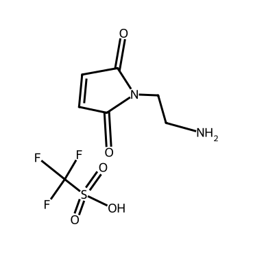 NCCN1C(=O)C=CC1=O.O=S(=O)(O)C(F)(F)F